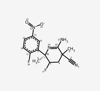 CC1(C#N)CC(F)[C@@](C)(c2cc([N+](=O)[O-])ccc2F)N=C1N